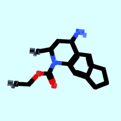 CCOC(=O)N1c2cc3c(cc2C(N)CC1C)CCC3